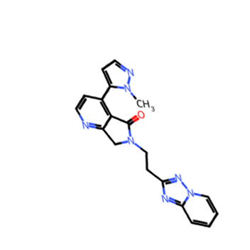 Cn1nccc1-c1ccnc2c1C(=O)N(CCc1nc3ccccn3n1)C2